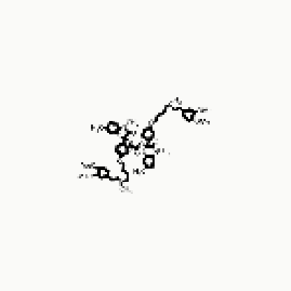 COc1ccc(CCN(C)CCCCOc2ccc(C3(OC(=O)C(=O)OC4(c5ccc(OCCCCN(C)CCc6ccc(OC)c(OC)c6)cc5)Sc5cc(C)ccc5N(C)C4=O)Sc4cc(C)ccc4N(C)C3=O)cc2)cc1OC